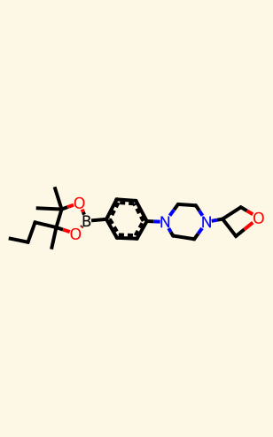 CCCC1(C)OB(c2ccc(N3CCN(C4COC4)CC3)cc2)OC1(C)C